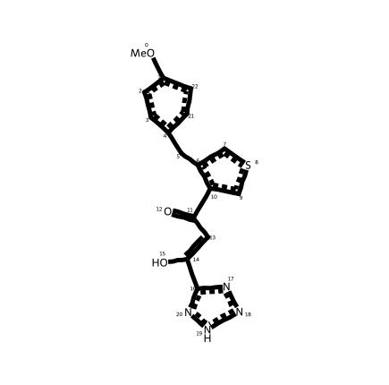 COc1ccc(Cc2cscc2C(=O)C=C(O)c2nn[nH]n2)cc1